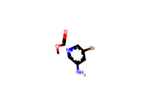 COC=O.Nc1cncc(Br)c1